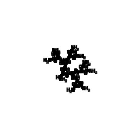 CNCCN(CCC(=O)NCCN(CCC(=O)NCCN(CCC(=O)NCCN)CCC(=O)NCCN)CCC(=O)NCCN(CCC(=O)NCCN)CCC(=O)NCCN)CCC(=O)NCCN(CCC(=O)NCCN(CCC(=O)NCCN)CCC(=O)NCCN)CCC(=O)NCCN(CCC(=O)NCCN)CCC(=O)NCCN